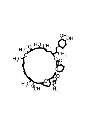 CO[C@H]1C[C@@H]2CC[C@@H](C)[C@@](O)(O2)C(=O)C(=O)N2CCCC[C@H]2C(=O)OC([C@H](C)C[C@@H]2CC[C@@H](O)[C@H](O)C2)C/C=C(\C)[C@@H](O)CC(=O)[C@H](C)C[C@H](C)/C=C/C=C/C=C/1C